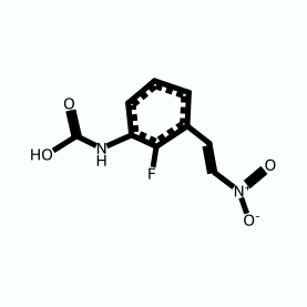 O=C(O)Nc1cccc(C=C[N+](=O)[O-])c1F